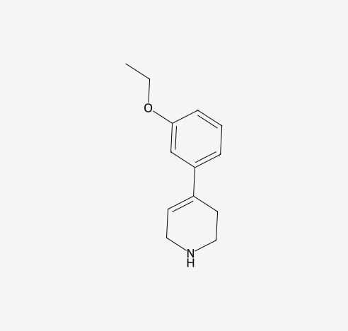 CCOc1cccc(C2=CCNCC2)c1